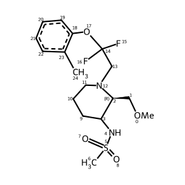 COC[C@H]1C(NS(C)(=O)=O)CCCN1CC(F)(F)Oc1ccccc1C